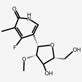 CO[C@H]1C(O)[C@@H](CO)O[C@H]1c1c[nH]c(=O)c(C)c1F